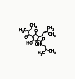 CCC(C)C(=O)C1=C(O)[C@](O)(C(=O)CC=C(C)C)C(CC=C(C)C)C1=O